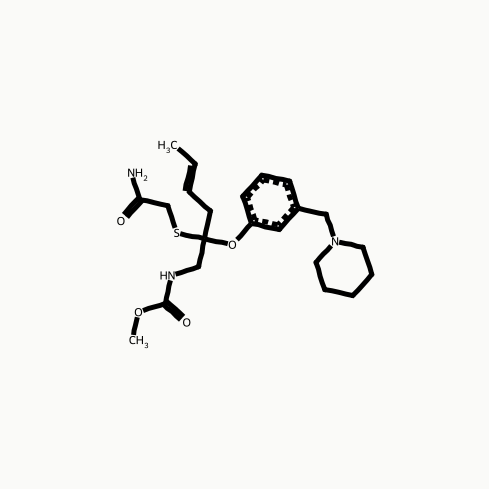 CC=CCC(CNC(=O)OC)(Oc1cccc(CN2CCCCC2)c1)SCC(N)=O